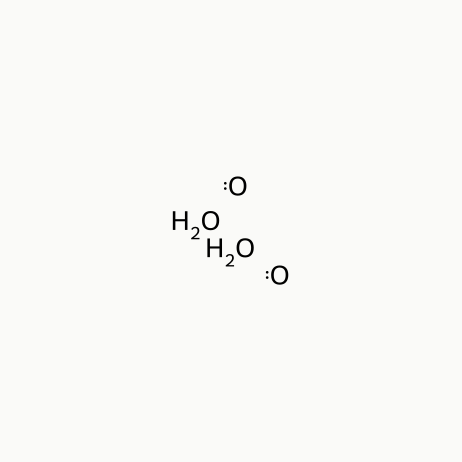 O.O.[O].[O]